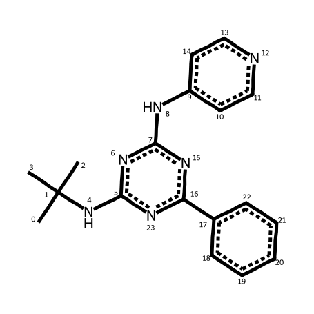 CC(C)(C)Nc1nc(Nc2ccncc2)nc(-c2ccccc2)n1